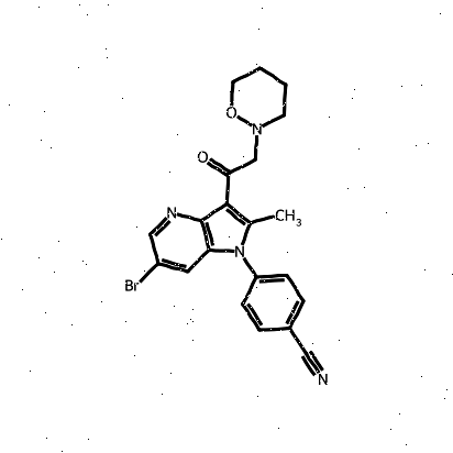 Cc1c(C(=O)CN2CCCCO2)c2ncc(Br)cc2n1-c1ccc(C#N)cc1